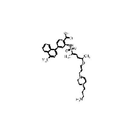 C/C(=C\C=C(/C)S(=O)(=O)Nc1cc(-c2ccc(C)c3ccccc23)ccc1C(=O)O)OCCCN1CCN(CCCN)CC1